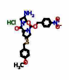 COc1ccc(CS[C@H]2C[C@@H](C(=O)N3CC(N)C3)N(C(=O)OCc3ccc([N+](=O)[O-])cc3)C2)cc1.Cl